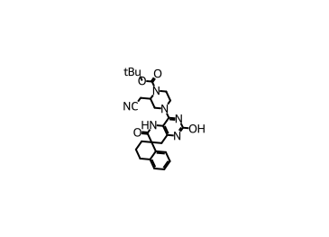 CC(C)(C)OC(=O)N1CCN(c2nc(O)nc3c2NC(=O)C2(CCCc4ccccc42)C3)CC1CC#N